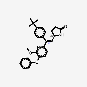 COc1nc(/C(=C/[C@H]2CCC(=O)N2)c2ccc(C(C)(C)C)cc2)ccc1Oc1ccccc1